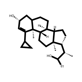 CCC(O)[C@@H](C)[C@H]1CC[C@H]2[C@@H]3CCC4C[C@@H](O)C=C(C5CC5)[C@]4(C)[C@H]3CC[C@]12C